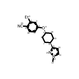 CCc1cc(O[C@H]2CC[C@H](c3ccn(C)n3)CC2)ccc1C#N